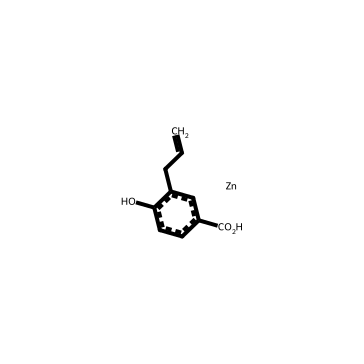 C=CCc1cc(C(=O)O)ccc1O.[Zn]